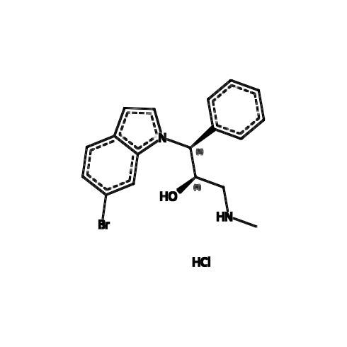 CNC[C@@H](O)[C@H](c1ccccc1)n1ccc2ccc(Br)cc21.Cl